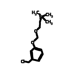 C[Si](C)(C)CCOCOc1cccc(CCl)c1